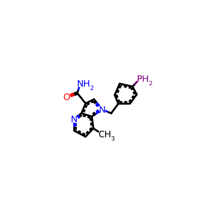 Cc1ccnc2c(C(N)=O)cn(Cc3ccc(P)cc3)c12